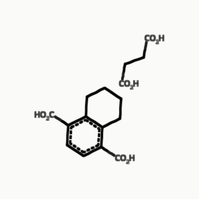 O=C(O)CCC(=O)O.O=C(O)c1ccc(C(=O)O)c2c1CCCC2